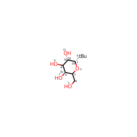 CC(C)(C)[C@@H]1OC(CO)[C@@H](O)C(O)[C@@H]1O